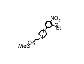 CCOc1cc(N2CCN(CCSOOC)CC2)ccc1[N+](=O)[O-]